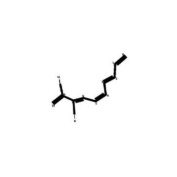 C=C/C=C/C=C\C=C(/I)C(=C)I